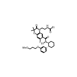 CCC(=O)NCCN1C(=O)C(C)(C)Oc2cc(F)c(C(=O)N(CC)[C@H]3CCCC[C@@H]3c3cccc(OCCCOC)c3)cc21